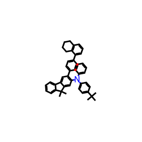 CC(C)(C)c1ccc(N(c2ccccc2)c2cc3c(cc2-c2ccc(-c4cccc5c4CCCC5)cc2)-c2ccccc2C3(C)C)cc1